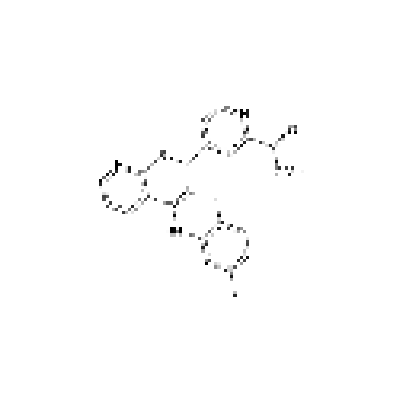 COC(=O)c1cc(CSc2ncccc2C(=O)Nc2cc(C)ccc2C)ccn1